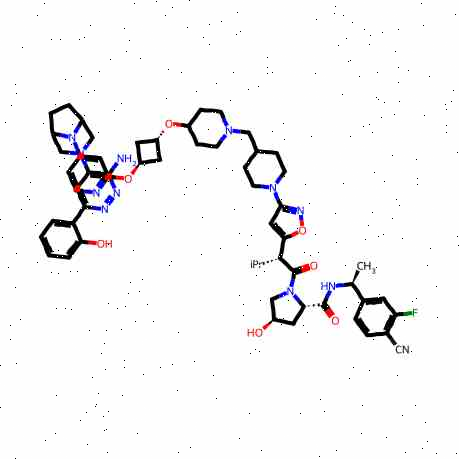 CC(C)[C@@H](C(=O)N1C[C@H](O)C[C@H]1C(=O)N[C@@H](C)c1ccc(C#N)c(F)c1)c1cc(N2CCC(CN3CCC(O[C@H]4C[C@H](Oc5cc(N6C7CCC6CN(c6cc(-c8ccccc8O)nnc6N)C7)ccn5)C4)CC3)CC2)no1